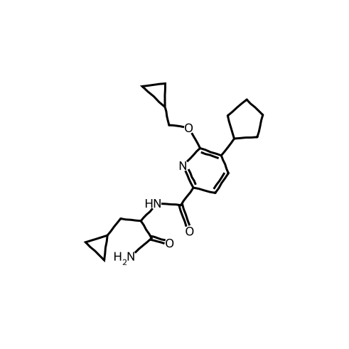 NC(=O)C(CC1CC1)NC(=O)c1ccc(C2CCCC2)c(OCC2CC2)n1